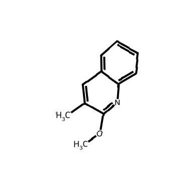 COc1nc2ccccc2cc1C